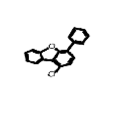 Clc1ccc(-c2ccccc2)c2oc3ccccc3c12